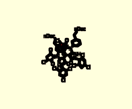 CCCCCCCCCCCCc1cccc(N(c2[nH]n(-c3c(Cl)cc(Cl)cc3Cl)c(=O)c2C(c2ccccc2)c2c(N(c3cccc(CCCCCCCCCCCC)c3)N3C(=O)CC(Cl)C3=O)[nH]n(-c3c(Cl)cc(Cl)cc3Cl)c2=O)N2C(=O)CC(Cl)C2=O)c1